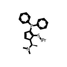 CC(C)SC1=C(P(c2ccccc2)c2ccccc2)C=CC1[C@@H](C)N(C)C